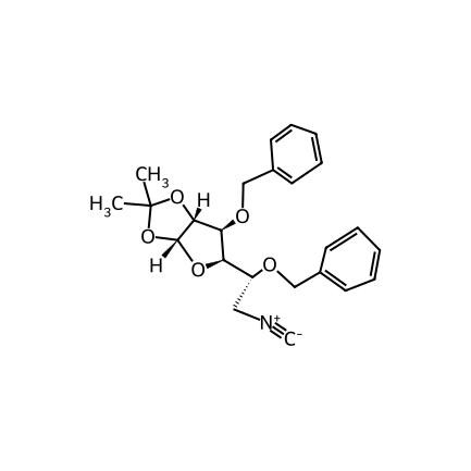 [C-]#[N+]C[C@@H](OCc1ccccc1)[C@H]1O[C@@H]2OC(C)(C)O[C@@H]2[C@H]1OCc1ccccc1